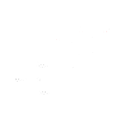 CO[Si](CCCC1=CC(=O)OC1=O)(OC)OC